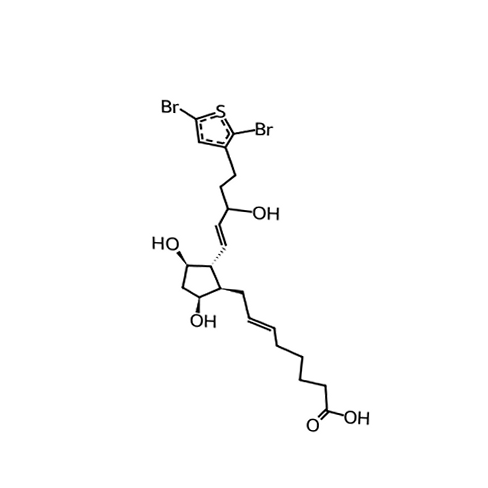 O=C(O)CCCCC=CC[C@@H]1[C@@H](C=CC(O)CCc2cc(Br)sc2Br)[C@H](O)C[C@@H]1O